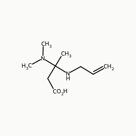 C=CCNC(C)(CC(=O)O)N(C)C